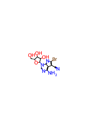 N#Cc1c(Br)nc2n([C@H]3O[C@@H](CO)C(O)C3O)cnc(N)c1-2